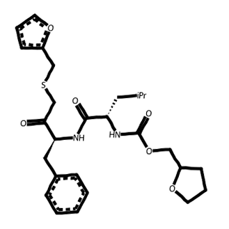 CC(C)C[C@H](NC(=O)OCC1CCCO1)C(=O)N[C@@H](Cc1ccccc1)C(=O)CSCc1ccco1